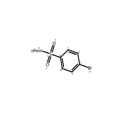 CCCCCS(=O)(=O)c1ccc(Br)cc1